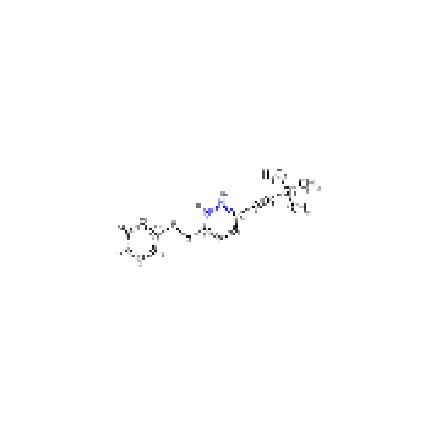 C[Si](C)(C)C#Cc1ccc(CCc2ccccc2)nn1